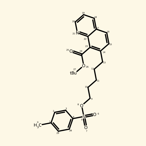 Cc1ccc(S(=O)(=O)OCCCCCc2ccc3cccnc3c2C(=O)OC(C)(C)C)cc1